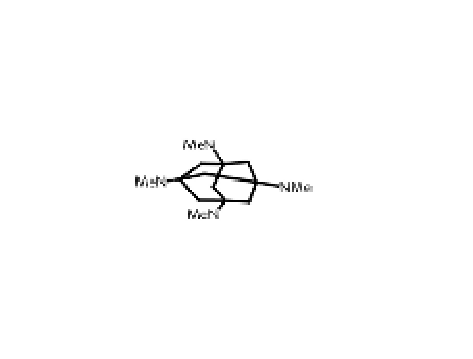 CNC12CC3(NC)CC(NC)(C1)CC(NC)(C2)C3